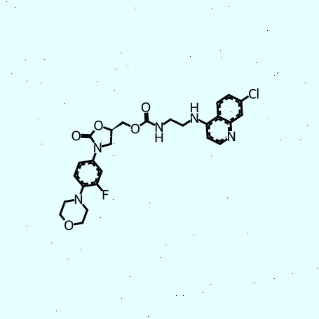 O=C(NCCNc1ccnc2cc(Cl)ccc12)OC[C@H]1CN(c2ccc(N3CCOCC3)c(F)c2)C(=O)O1